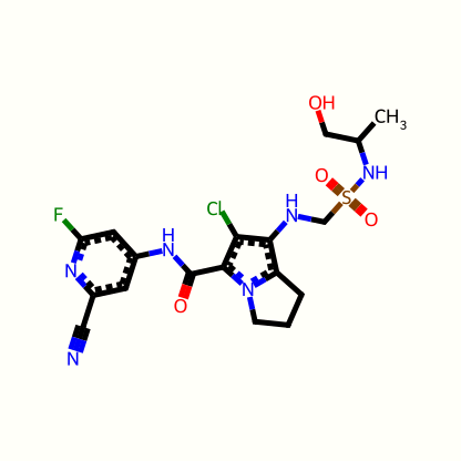 CC(CO)NS(=O)(=O)CNc1c(Cl)c(C(=O)Nc2cc(F)nc(C#N)c2)n2c1CCC2